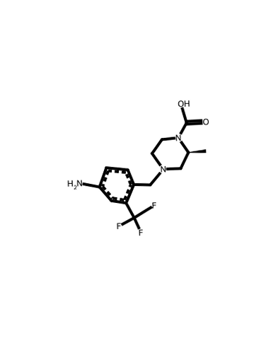 C[C@H]1CN(Cc2ccc(N)cc2C(F)(F)F)CCN1C(=O)O